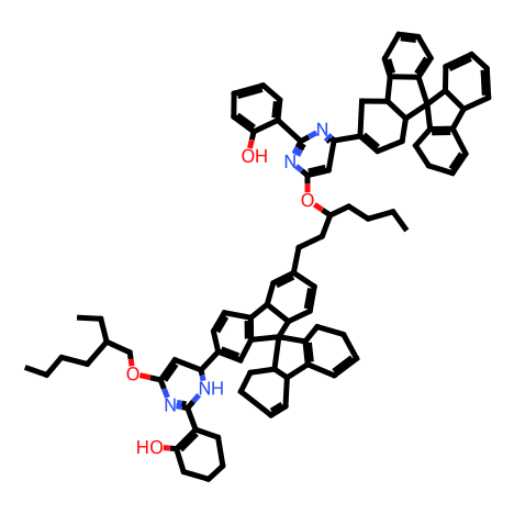 CCCCC(CC)COC1=CC(c2ccc3c(c2)C2(C4=C(C=CCC4)C4C=CCCC42)C2C=CC(CCC(CCCC)Oc4cc(C5=CCC6C(C5)c5ccccc5C65C6=C(C=CCC6)C6C=CC=CC65)nc(-c5ccccc5O)n4)=CC32)NC(C2=C(O)CCCC2)=N1